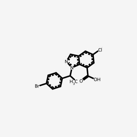 CC(c1ccc(Br)cc1)n1ncc2cc(Cl)cc(C(=O)O)c21